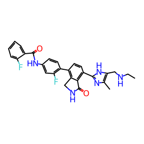 CCNCc1[nH]c(-c2ccc(-c3ccc(NC(=O)c4ccccc4F)cc3F)c3c2C(=O)NC3)nc1C